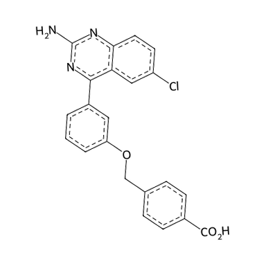 Nc1nc(-c2cccc(OCc3ccc(C(=O)O)cc3)c2)c2cc(Cl)ccc2n1